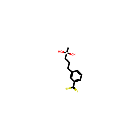 C[Si](O)(O)CCCc1cccc(C(=S)S)c1